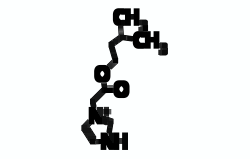 CC(C)CCOC(=O)C[n+]1cc[nH]c1